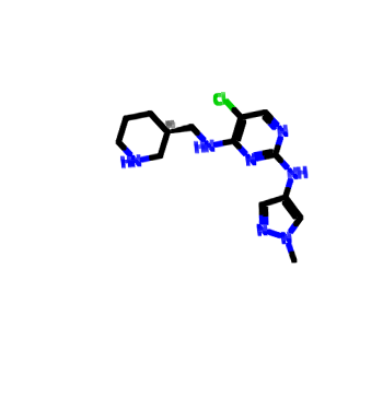 Cn1cc(Nc2ncc(Cl)c(NC[C@@H]3CCCNC3)n2)cn1